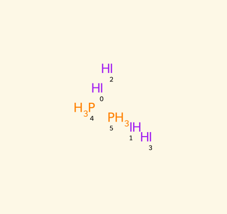 I.I.I.I.P.P